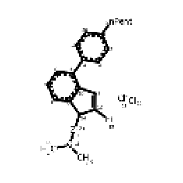 CCCCCc1ccc(-c2cccc3c2C=C(CC)[CH]3[Zr+2][Si](C)C)cc1.[Cl-].[Cl-]